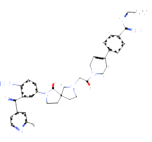 CN/C=N\C(=N)c1ccc(C2=CCN(C(=O)CN3CCC4(CCN(c5ccc(N)c(C(=N)c6ccnc(C)c6)c5)C4=O)C3)CC2)cc1